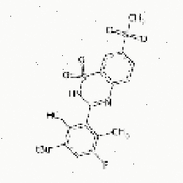 Cc1c(F)cc(C(C)(C)C)c(O)c1C1=Nc2ccc(S(C)(=O)=O)cc2S(=O)(=O)N1